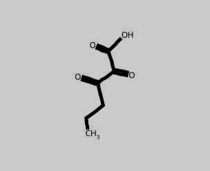 CCCC(=O)C(=O)C(=O)O